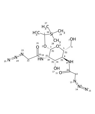 CC(O[C@@H]1O[C@H](CO)[C@@H](NC(=O)CN=[N+]=[N-])[C@H](O)[C@@H]1NC(=O)CN=[N+]=[N-])[Si](C)(C)C